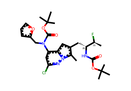 Cc1c(C[C@@H](NC(=O)OC(C)(C)C)[C@H](C)F)cc2c(N(Cc3ccco3)C(=O)OC(C)(C)C)cc(Cl)nn12